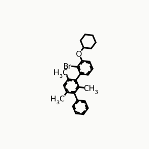 Cc1cc(C)c(-c2cccc(OC3CCCCC3)c2Br)c(C)c1-c1ccccc1